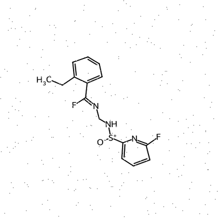 CCc1ccccc1/C(F)=N/CN[S+]([O-])c1cccc(F)n1